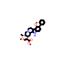 CC[C@@H]1CN2CCc3c([nH]c4ccc(-c5ccccc5)c(OC)c34)C2C[C@@H]1/C(=C\OC)C(=O)OC